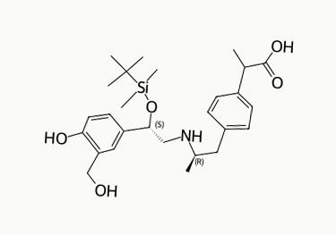 CC(C(=O)O)c1ccc(C[C@@H](C)NC[C@@H](O[Si](C)(C)C(C)(C)C)c2ccc(O)c(CO)c2)cc1